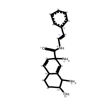 NC1C2=CC(N)(C(=O)N/C=C/c3ccccc3)C=CC2CCC1O